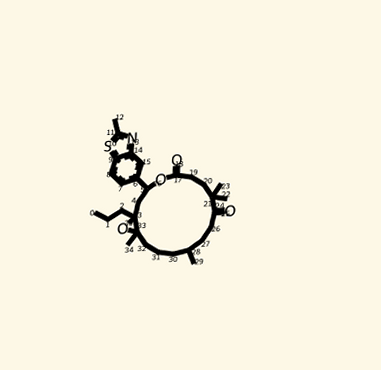 CCCC12CC(c3ccc4sc(C)nc4c3)OC(=O)CCC(C)(C)C(=O)CCC(C)CCCC1(C)O2